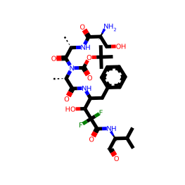 CC(C)[C@@H]([C]=O)NC(=O)C(F)(F)C(O)C(Cc1ccccc1)NC(=O)[C@H](C)N(C(=O)OC(C)(C)C)C(=O)[C@H](C)NC(=O)[C@@H](N)CO